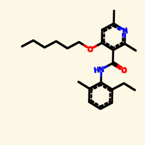 CCCCCCOc1cc(C)nc(C)c1C(=O)Nc1c(C)cccc1CC